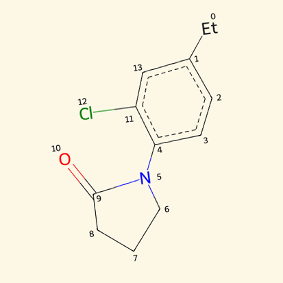 CCc1ccc(N2CCCC2=O)c(Cl)c1